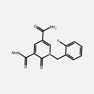 CNC(=O)c1cc(C(N)=O)cn(Cc2ccccc2F)c1=O